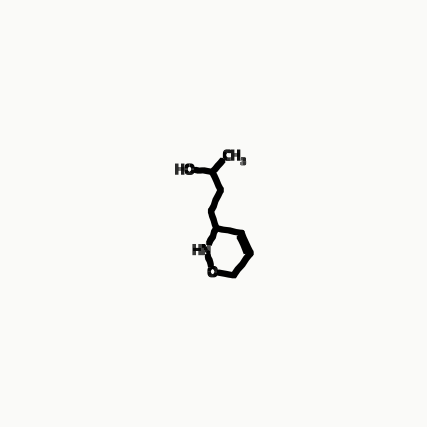 CC(O)CCC1C=CCON1